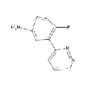 Nc1ccc(F)c(-c2cccnn2)c1